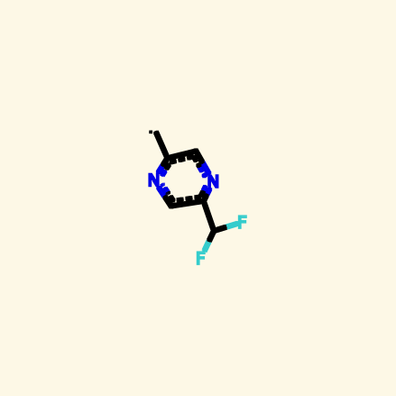 [CH2]c1cnc(C(F)F)cn1